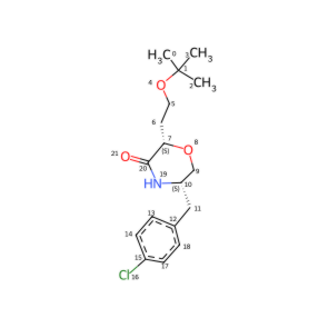 CC(C)(C)OCC[C@@H]1OC[C@H](Cc2ccc(Cl)cc2)NC1=O